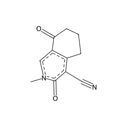 Cn1cc2c(c(C#N)c1=O)CCCC2=O